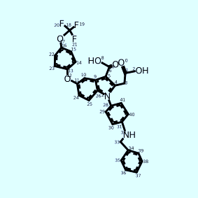 O=C(O)Cc1c(C(=O)O)c2cc(Oc3ccc(OC(F)(F)F)cc3)ccc2n1-c1ccc(NCc2ccccc2)cc1